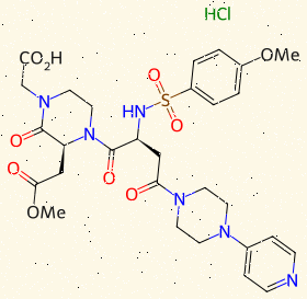 COC(=O)C[C@H]1C(=O)N(CC(=O)O)CCN1C(=O)[C@H](CC(=O)N1CCN(c2ccncc2)CC1)NS(=O)(=O)c1ccc(OC)cc1.Cl